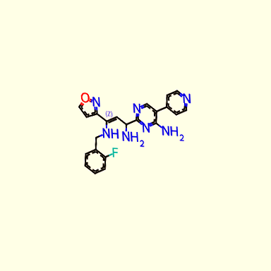 Nc1nc(C(N)/C=C(\NCc2ccccc2F)c2ccon2)ncc1-c1ccncc1